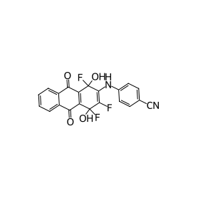 N#Cc1ccc(NC2=C(F)C(O)(F)C3=C(C(=O)c4ccccc4C3=O)C2(O)F)cc1